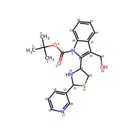 CC(C)(C)OC(=O)n1c(C2CSC(c3cccnc3)N2)c(CO)c2ccccc21